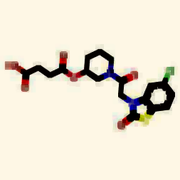 O=C(O)CCC(=O)OC1CCCN(C(=O)Cn2c(=O)sc3ccc(Cl)cc32)C1